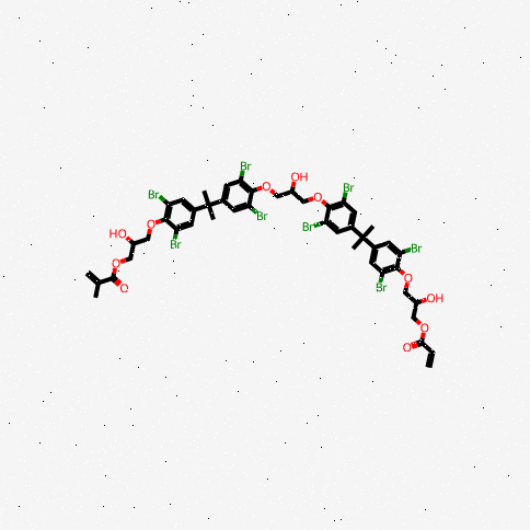 C=CC(=O)OCC(O)COc1c(Br)cc(C(C)(C)c2cc(Br)c(OCC(O)COc3c(Br)cc(C(C)(C)c4cc(Br)c(OCC(O)COC(=O)C(=C)C)c(Br)c4)cc3Br)c(Br)c2)cc1Br